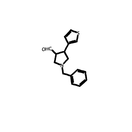 O=CC1CN(Cc2ccccc2)CC1c1ccsc1